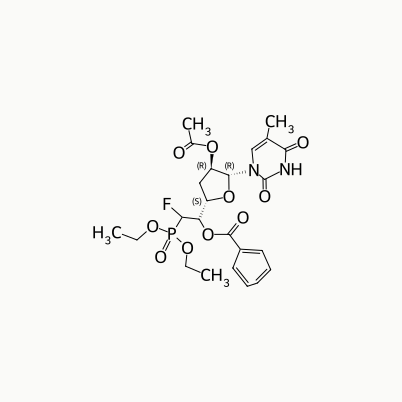 CCOP(=O)(OCC)C(F)C(OC(=O)c1ccccc1)[C@@H]1C[C@@H](OC(C)=O)[C@H](n2cc(C)c(=O)[nH]c2=O)O1